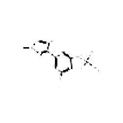 Cn1cc(-c2cc(O)cc(OC(F)(F)F)c2)cn1